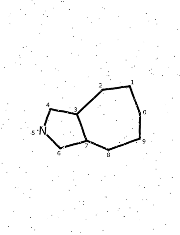 C1CCC2C[N]CC2CC1